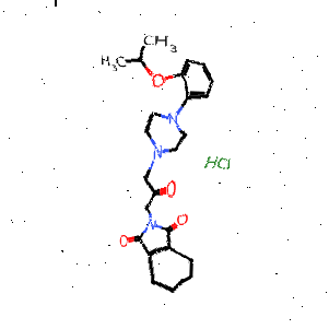 CC(C)Oc1ccccc1N1CCN(CC(=O)CN2C(=O)C3CCCCC3C2=O)CC1.Cl